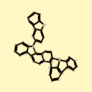 c1ccc2c(c1)oc1ccc(-n3c4ccccc4c4ccc5c(ccc6c5c5cccc7c8ccccc8n6c75)c43)cc12